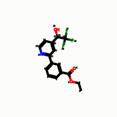 CCOC(=O)c1cccc(-c2cc([C@@H](O)C(F)(F)F)ccn2)c1